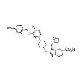 C#Cc1ccc(COc2nc(C3CCN(Cc4nc5ccc(C(=O)O)cc5n4C[C@@H]4CCO4)CC3)ccc2F)c(F)c1